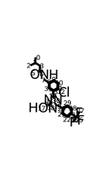 CC(C)CC(=O)NCc1ccc(Cl)c(-c2nc(O)nc(-c3ccc(C(F)(F)F)cc3)n2)c1